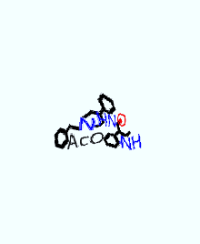 CC(=O)Oc1ccc2[nH]c(C)c(C(=O)Nc3ccccc3C3CCN(CCc4ccccc4)CC3)c2c1